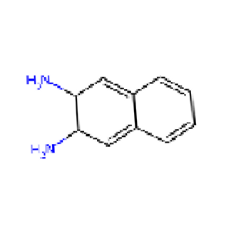 NC1C=c2ccccc2=CC1N